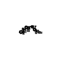 CCc1nn(Cc2cnn(C3CCN(C(=O)OC(C)(C)C)CC3F)c2)c2cccc(NC(=O)c3cnc4ccccn34)c12